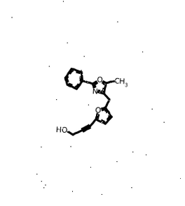 Cc1oc(-c2ccccc2)nc1Cc1ccc(C#CCO)o1